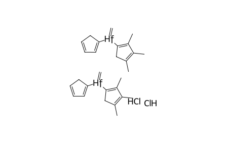 Cl.Cl.[CH2]=[Hf]([C]1=CC=CC1)[C]1=C(C)C(C)=C(C)C1.[CH2]=[Hf]([C]1=CC=CC1)[C]1=C(C)C(C)=C(C)C1